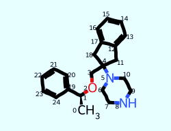 C[C@H](OCC1(N2CCNCC2)Cc2ccccc2C1)c1ccccc1